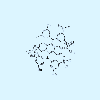 CC[SiH](CC)c1cc(N(c2cc(C(C)(C)C)cc(C(C)(C)C)c2)c2c3ccc([Si](C)(C)C)cc3c(N(c3cc(C(C)(C)C)cc(C(C)(C)C)c3)c3cc(C)cc([Si](CC)(CC)CC)c3)c3ccc([SiH](C)C)cc23)cc([SiH](CC)CC)c1